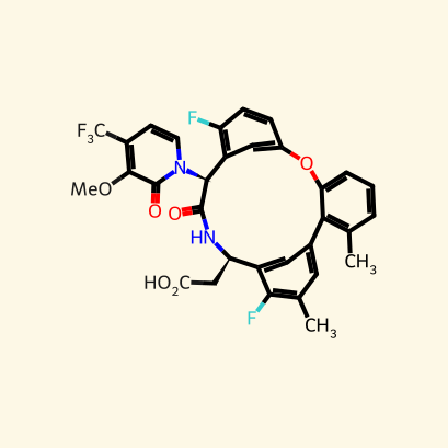 COc1c(C(F)(F)F)ccn([C@@H]2C(=O)N[C@H](CC(=O)O)c3cc(cc(C)c3F)-c3c(C)cccc3Oc3ccc(F)c2c3)c1=O